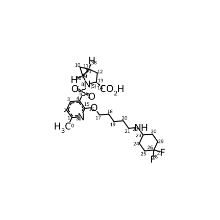 Cc1ccc(S(=O)(=O)N2[C@@H]3C[C@@H]3C[C@H]2C(=O)O)c(OCCCCCNC2CCC(F)(F)CC2)n1